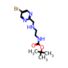 CC(C)(C)OC(=O)NCCNCc1ncc(Br)cn1